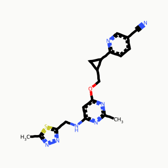 Cc1nc(NCc2nnc(C)s2)cc(OCC2CC2c2ccc(C#N)cn2)n1